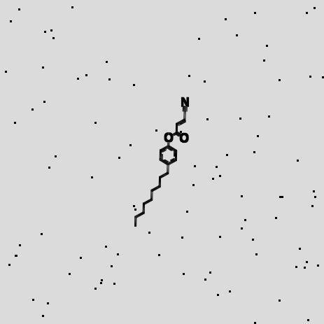 CCCCCCCCCc1ccc(OC(=O)C=CC#N)cc1